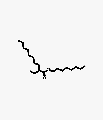 CCCCCCCCOC(=O)C(CC)CCCCCCCC